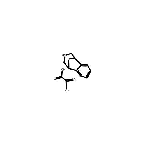 O=C(O)C(=O)O.c1ccc2c(c1)C1CNCC2O1